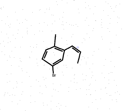 C/C=C\c1cc(Br)ccc1C